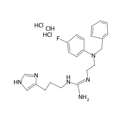 Cl.Cl.Cl.NC(=NCCN(Cc1ccccc1)c1ccc(F)cc1)NCCCc1c[nH]cn1